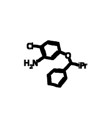 CC(C)C(Oc1ccc(Cl)c(N)c1)c1ccccc1